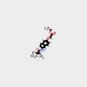 CCC(C)(C)C(=O)Nc1ccc2cc(OCC(=O)OCC(F)(F)F)ccc2c1